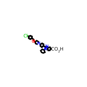 O=C(O)c1ccc2c(c1)nc(-c1ccc(N3CCC(OCc4ccc(Cl)cc4)CC3)cc1)n2C1CCCCC1